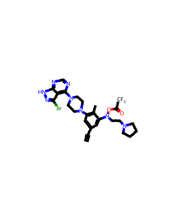 C#Cc1cc(N2CCN(c3ncnc4[nH]nc(Br)c34)CC2)c(C)c(N(CCN2CCCC2)OC(=O)C(F)(F)F)c1